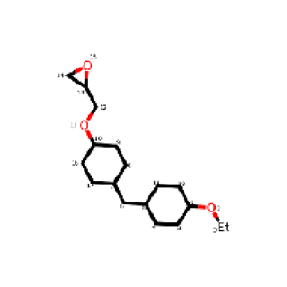 CCOC1CCC(CC2CCC(OCC3CO3)CC2)CC1